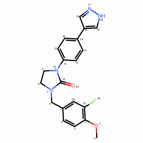 COc1ccc(CN2CCN(c3ccc(-c4cn[nH]c4)cc3)C2=O)cc1F